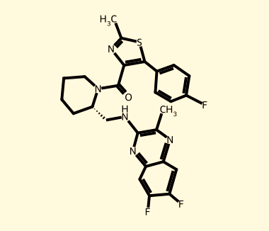 Cc1nc(C(=O)N2CCCC[C@H]2CNc2nc3cc(F)c(F)cc3nc2C)c(-c2ccc(F)cc2)s1